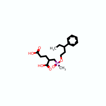 CCC(CCOP(C)(=O)CC(CCC(=O)O)C(=O)O)c1ccccc1